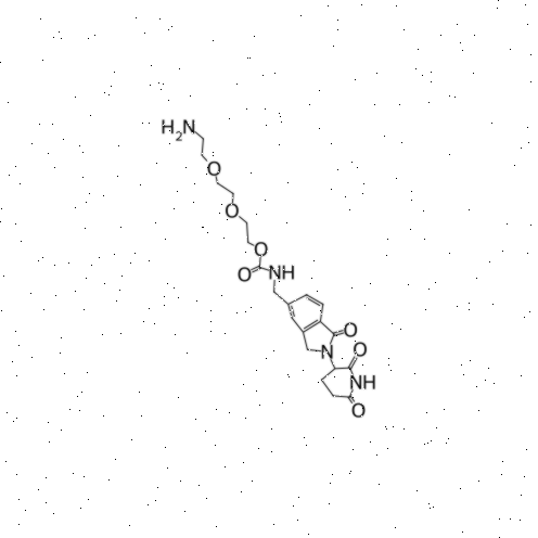 NCCOCCOCCOC(=O)NCc1ccc2c(c1)CN(C1CCC(=O)NC1=O)C2=O